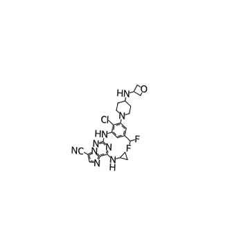 N#Cc1cnc2c(NC3CC3)nc(Nc3cc(C(F)F)cc(N4CCC(NC5COC5)CC4)c3Cl)nn12